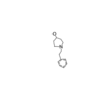 [O]C1CCN(CCc2ccccc2)CC1